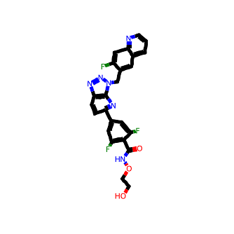 O=C(NOCCO)c1c(F)cc(-c2ccc3nnn(Cc4cc5cccnc5cc4F)c3n2)cc1F